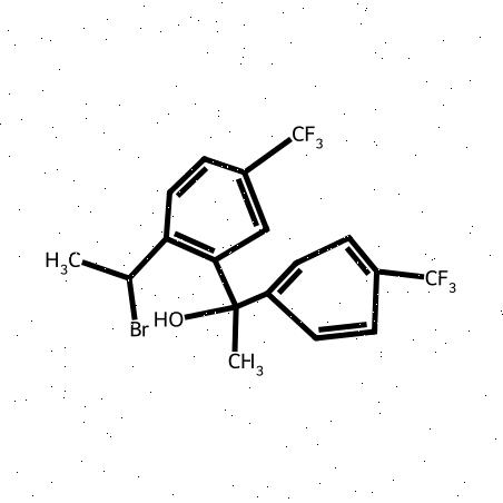 CC(Br)c1ccc(C(F)(F)F)cc1C(C)(O)c1ccc(C(F)(F)F)cc1